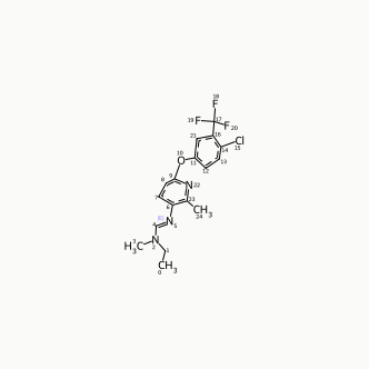 CCN(C)/C=N/c1ccc(Oc2ccc(Cl)c(C(F)(F)F)c2)nc1C